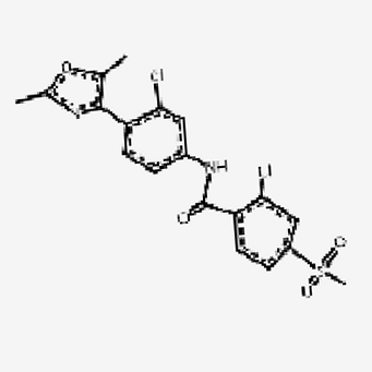 Cc1nc(-c2ccc(NC(=O)c3ccc(S(C)(=O)=O)cc3Cl)cc2Cl)c(C)o1